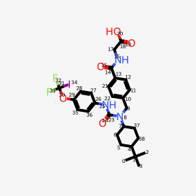 CC(C)(C)C1CCC(N(Cc2ccc(C(=O)NCC(=O)O)cc2)C(=O)Nc2ccc(OC(F)(F)I)cc2)CC1